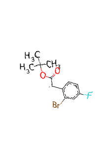 CC(C)(C)OC(=O)[CH]c1ccc(F)cc1Br